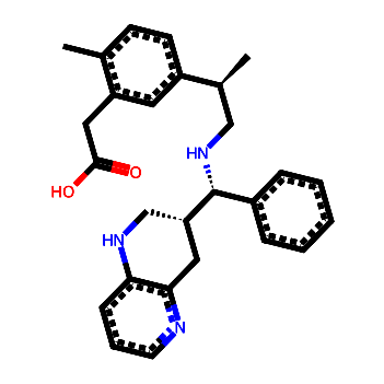 Cc1ccc([C@@H](C)CN[C@H](c2ccccc2)[C@H]2CNc3cccnc3C2)cc1CC(=O)O